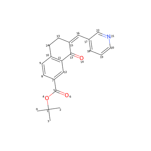 CC(C)(C)OC(=O)c1ccc2c(c1)C(=O)C(=Cc1cccnc1)CC2